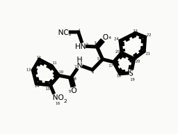 N#CCNC(=O)C(CNC(=O)c1ccccc1[N+](=O)[O-])c1csc2ccccc12